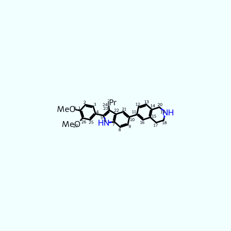 COc1ccc(-c2[nH]c3ccc(-c4ccc5c(c4)CCNC5)cc3c2C(C)C)cc1OC